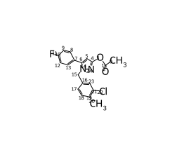 CC(=O)Oc1cc(-c2ccc(F)cc2)n(Cc2ccc(C)c(Cl)c2)n1